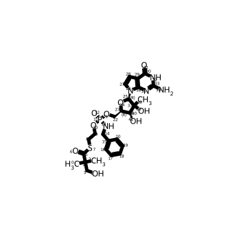 CC(C)(CO)C(=O)SCCOP(=O)(NCc1ccccc1)OC[C@H]1O[C@@H](n2ccc3c(=O)[nH]c(N)nc32)C(C)(O)[C@H]1O